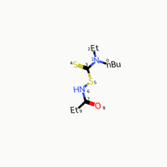 CCCCN(CC)C(=S)SNC(=O)CC